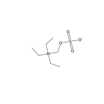 CC[N+](CC)(CC)COS(=O)(=O)[O-]